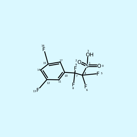 O=S(=O)(O)C(F)(F)C(F)(F)c1cc(F)cc(F)c1